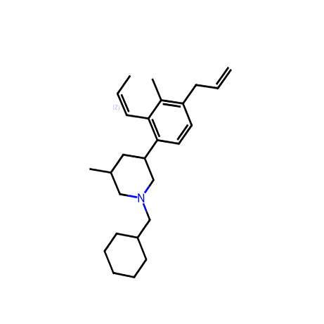 C=CCc1ccc(C2CC(C)CN(CC3CCCCC3)C2)c(/C=C\C)c1C